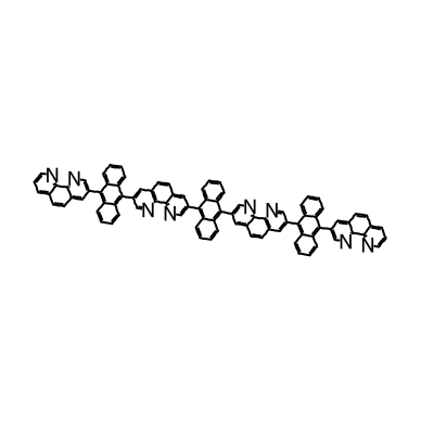 c1cnc2c(c1)ccc1cc(-c3c4ccccc4c(-c4cnc5c(ccc6cc(-c7c8ccccc8c(-c8cnc9c(ccc%10cc(-c%11c%12ccccc%12c(-c%12cnc%13c(ccc%14cccnc%14%13)c%12)c%12ccccc%11%12)cnc%109)c8)c8ccccc78)cnc65)c4)c4ccccc34)cnc12